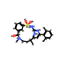 Cc1cccc(C)c1-c1cc2nc(n1)NS(=O)(=O)c1cccc(c1)C(=O)N(C)CCC2C